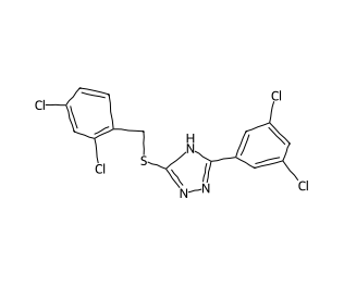 Clc1cc(Cl)cc(-c2nnc(SCc3ccc(Cl)cc3Cl)[nH]2)c1